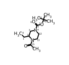 CCC1CN(C(=O)OC(C)(C)C)CCN1C(C)=O